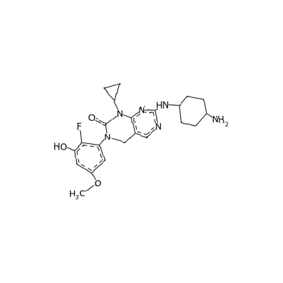 COc1cc(O)c(F)c(N2Cc3cnc(NC4CCC(N)CC4)nc3N(C3CC3)C2=O)c1